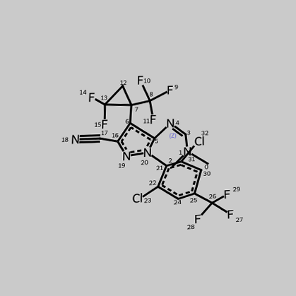 CN(C)/C=N\c1c(C2(C(F)(F)F)CC2(F)F)c(C#N)nn1-c1c(Cl)cc(C(F)(F)F)cc1Cl